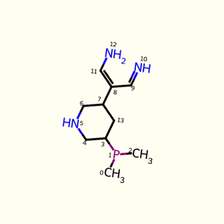 CP(C)C1CNCC(/C(C=N)=C/N)C1